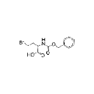 O=C(NC(CCBr)C(=O)O)OCc1ccccc1